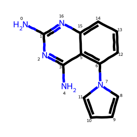 Nc1nc(N)c2c(-n3cccc3)cccc2n1